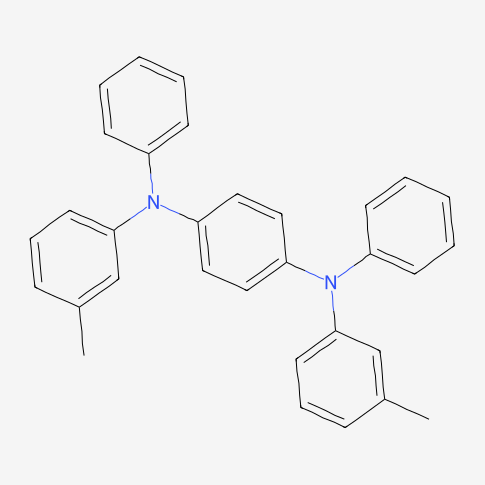 Cc1cccc(N(c2ccccc2)c2ccc(N(c3ccccc3)c3cccc(C)c3)cc2)c1